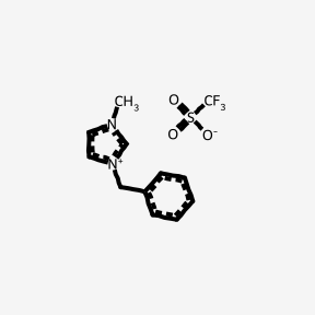 Cn1cc[n+](Cc2ccccc2)c1.O=S(=O)([O-])C(F)(F)F